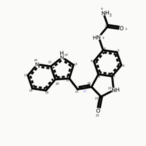 NC(=O)Nc1ccc2c(c1)/C(=C\c1c[nH]c3ncccc13)C(=O)N2